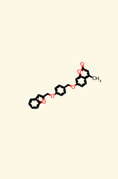 Cc1cc(=O)oc2cc(OCc3ccc(OCc4cc5ccccc5o4)cc3)ccc12